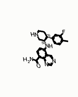 Cc1ccc([C@@H]2CCNC[C@H]2Nc2ccc(C(N)=O)c3ncncc23)cc1F